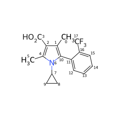 Cc1c(C(=O)O)c(C)n(C2CC2)c1-c1ccccc1C(F)(F)F